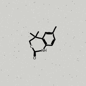 Cc1ccc2c(c1)C(C)(C)CCC(=O)N2